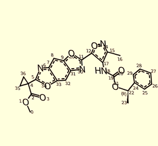 COC(=O)C1(c2nc3cc4oc(-c5onc(C)c5NC(=O)O[C@H](C)c5ccccc5)nc4cc3o2)CC1